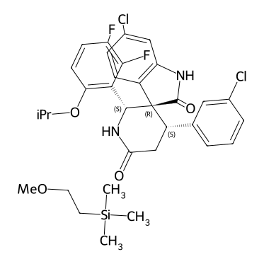 CC(C)Oc1ccc(F)c(F)c1[C@H]1NC(=O)C[C@@H](c2cccc(Cl)c2)[C@]12C(=O)Nc1cc(Cl)ccc12.COCC[Si](C)(C)C